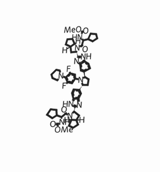 COC(=O)NC(C(=O)N1[C@H](c2nc3cc([C@H]4CC[C@H](c5ccc6[nH]c([C@@H]7C[C@@H]8CCC[C@@H]8N7C(=O)[C@@H](NC(=O)OC)C7CCCC7)nc6c5)N4c4cc(F)c(N5CCCCC5)c(F)c4)ccc3[nH]2)C[C@@H]2CCC[C@@H]21)C1CCCC1